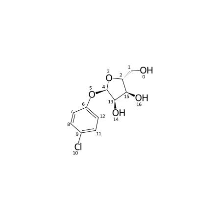 OC[C@H]1O[C@H](Oc2ccc(Cl)cc2)[C@H](O)[C@@H]1O